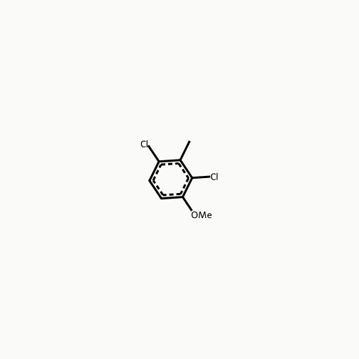 COc1ccc(Cl)c(C)c1Cl